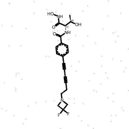 C[C@@H](O)[C@H](NC(=O)c1ccc(C#CC#CCCN2CC(F)(F)C2)cc1)C(=O)NO